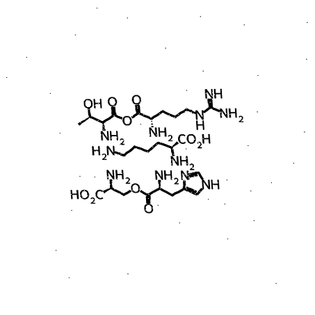 C[C@@H](O)[C@H](N)C(=O)OC(=O)[C@@H](N)CCCNC(=N)N.NCCCC[C@H](N)C(=O)O.N[C@@H](COC(=O)[C@@H](N)Cc1c[nH]cn1)C(=O)O